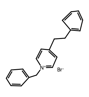 [Br-].c1ccc(CCc2cc[n+](Cc3ccccc3)cc2)cc1